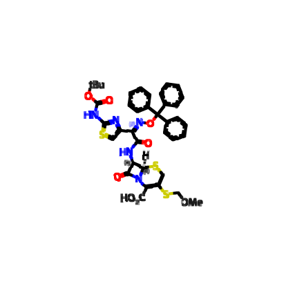 COCSC1=C(C(=O)O)N2C(=O)[C@@H](NC(=O)/C(=N\OC(c3ccccc3)(c3ccccc3)c3ccccc3)c3csc(NC(=O)OC(C)(C)C)n3)[C@H]2SC1